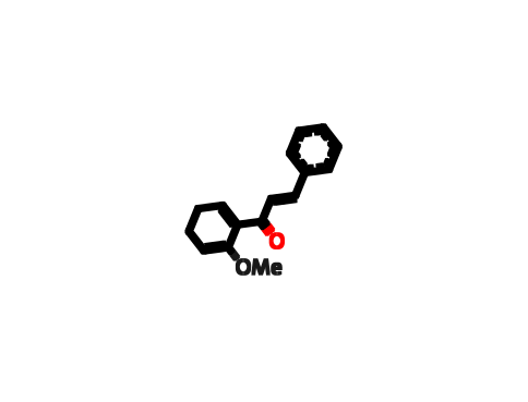 COC1=CCCC=C1C(=O)/C=C/c1ccccc1